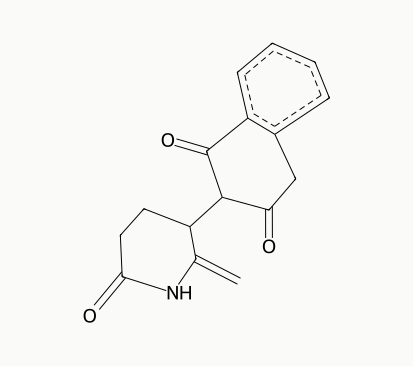 C=C1NC(=O)CCC1C1C(=O)Cc2ccccc2C1=O